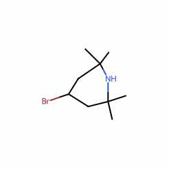 CC1(C)CC(Br)CC(C)(C)N1